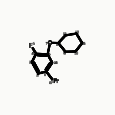 CC(C)c1ccc(F)c(OC2CCCCC2)c1